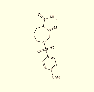 COc1ccc(S(=O)(=O)N2CCCC(C(N)=O)C(=O)C2)cc1